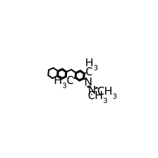 CCN(C)C=Nc1cc(C)c(Cc2ccc3c(c2)CCCC3)cc1C